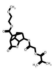 C=C(C)C(=O)OCC(=O)OC1C2CC3C1OC(=O)C3C2C(=O)OCCOC